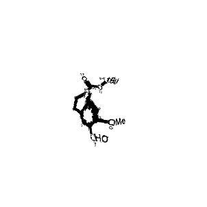 COc1cc2c(cc1C=O)CCN2C(=O)OC(C)(C)C